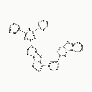 c1ccc(-c2nc(-c3ccccc3)nc(-c3ccc4c(c3)oc3c(-c5cccc(-c6ncc7sc8ccccc8c7n6)c5)cccc34)n2)cc1